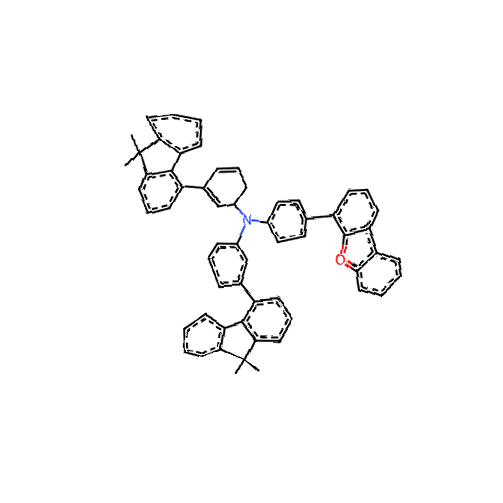 CC1(C)c2ccccc2-c2c(C3=CC(N(c4ccc(-c5cccc6c5oc5ccccc56)cc4)c4cccc(-c5cccc6c5-c5ccccc5C6(C)C)c4)CC=C3)cccc21